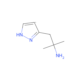 CC(C)(N)Cc1[c]c[nH]n1